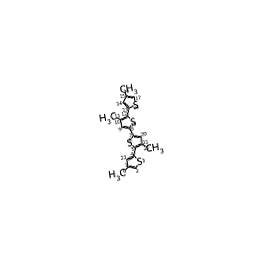 Cc1csc(-c2sc(-c3cc(C)c(-c4cc(C)cs4)s3)cc2C)c1